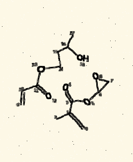 C=C(C)C(=O)OC1CO1.C=CC(=O)OCCC(C)O